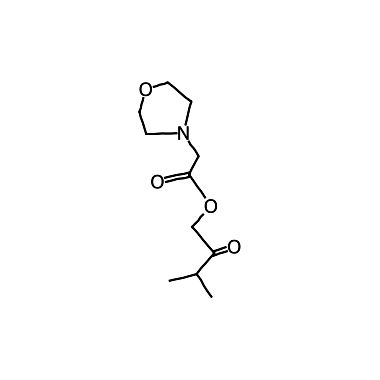 CC(C)C(=O)COC(=O)CN1CCOCC1